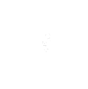 COc1ccc(OC)c(-c2cc(C(=O)NCCO)c(C)n2CC2CCCCC2)c1